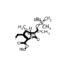 C[C@@H](O[Si](C)(C)C(C)(C)C)[C@H]1C(=O)N2C(C(=O)OC(C)(C)C)=C(CI)[C@H](C)[C@H]12